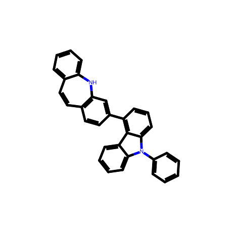 C1=Cc2ccc(-c3cccc4c3c3ccccc3n4-c3ccccc3)cc2Nc2ccccc21